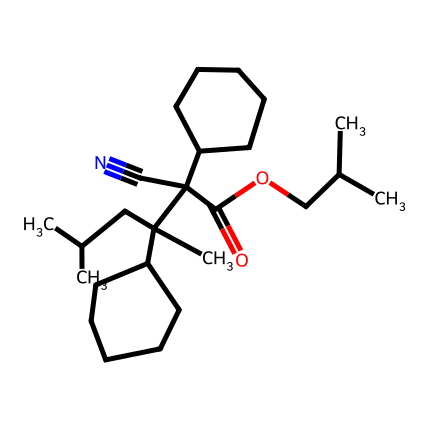 CC(C)COC(=O)C(C#N)(C1CCCCC1)C(C)(CC(C)C)C1CCCCC1